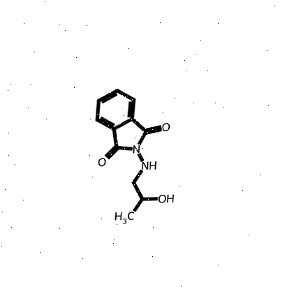 CC(O)CNN1C(=O)c2ccccc2C1=O